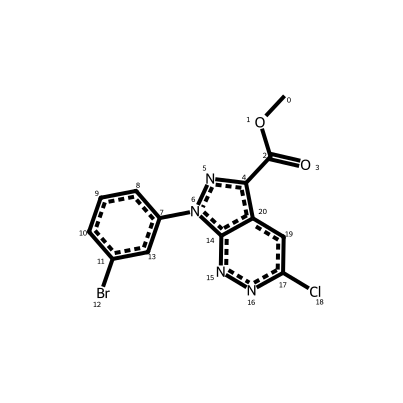 COC(=O)c1nn(-c2cccc(Br)c2)c2nnc(Cl)cc12